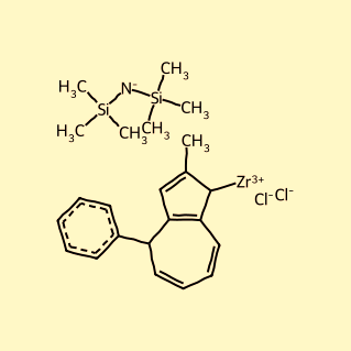 CC1=CC2=C(C=CC=CC2c2ccccc2)[CH]1[Zr+3].C[Si](C)(C)[N-][Si](C)(C)C.[Cl-].[Cl-]